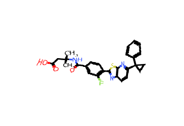 CC(C)(CC(=O)O)NC(=O)c1ccc(-c2nc3ccc(C4(c5ccccc5)CC4)nc3s2)c(F)c1